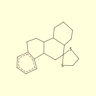 c1ccc2c(c1)CCC1C2CC2(SCCS2)C2CCCCC12